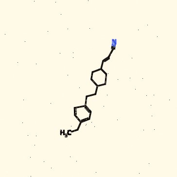 CCc1ccc(CCC2CCC(C=CC#N)CC2)cc1